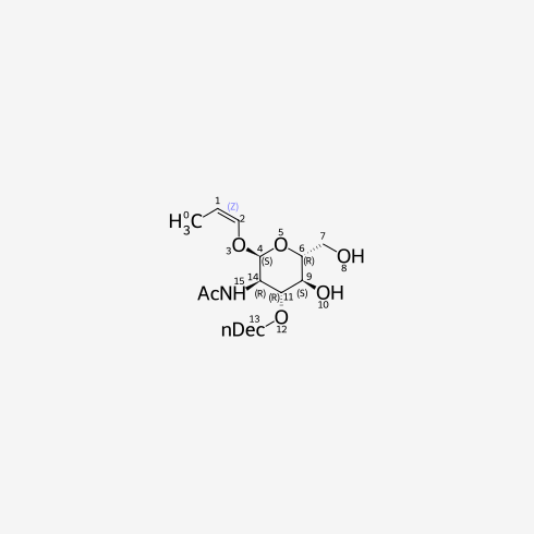 C/C=C\O[C@H]1O[C@H](CO)[C@@H](O)[C@H](OCCCCCCCCCC)[C@H]1NC(C)=O